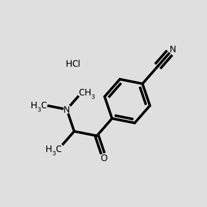 CC(C(=O)c1ccc(C#N)cc1)N(C)C.Cl